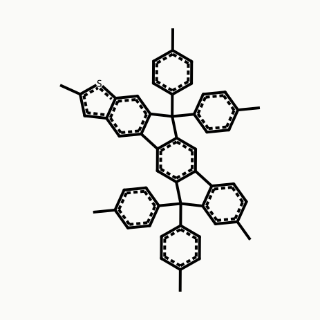 Cc1ccc(C2(c3ccc(C)cc3)c3cc(C)ccc3-c3cc4c(cc32)-c2cc3cc(C)sc3cc2C4(c2ccc(C)cc2)c2ccc(C)cc2)cc1